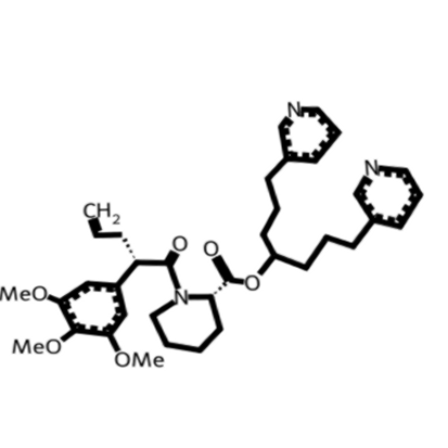 C=CC[C@H](C(=O)N1CCCC[C@H]1C(=O)OC(CCCc1cccnc1)CCCc1cccnc1)c1cc(OC)c(OC)c(OC)c1